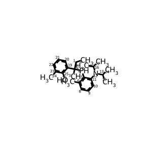 CCC(C)(Pc1c(C)cccc1N(C(C)C)C(C)C)c1cccc(C)c1O